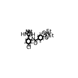 CCN(CC)S(=O)(=O)c1ccc(C(=O)Nc2cc(Cl)ccc2-c2nnn[nH]2)cc1